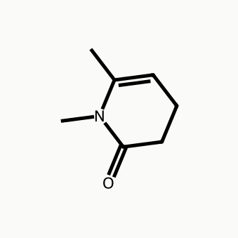 CC1=CCCC(=O)N1C